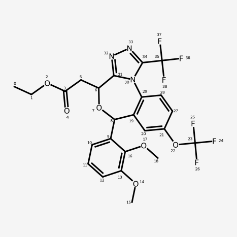 CCOC(=O)CC1OC(c2cccc(OC)c2OC)c2cc(OC(F)(F)F)ccc2-n2c1nnc2C(F)(F)F